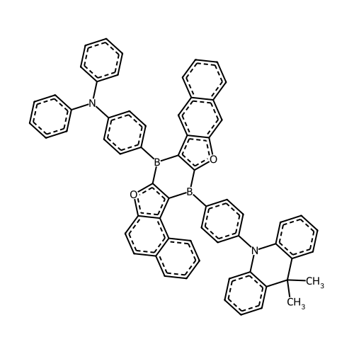 CC1(C)c2ccccc2N(c2ccc(B3c4oc5cc6ccccc6cc5c4B(c4ccc(N(c5ccccc5)c5ccccc5)cc4)c4oc5ccc6ccccc6c5c43)cc2)c2ccccc21